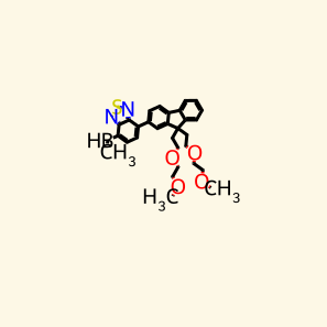 CBc1ccc(-c2ccc3c(c2)C(CCOCCOC)(CCOCCOC)c2ccccc2-3)c2nsnc12